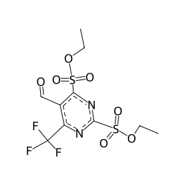 CCOS(=O)(=O)c1nc(C(F)(F)F)c(C=O)c(S(=O)(=O)OCC)n1